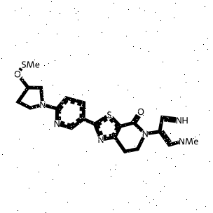 CN/C=C(\C=N)N1CCc2nc(-c3ccc(N4CCC(OSC)C4)nc3)sc2C1=O